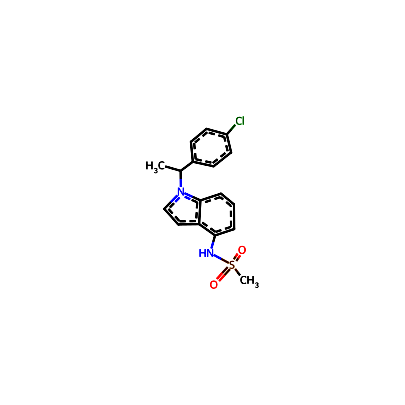 CC(c1ccc(Cl)cc1)n1ccc2c(NS(C)(=O)=O)cccc21